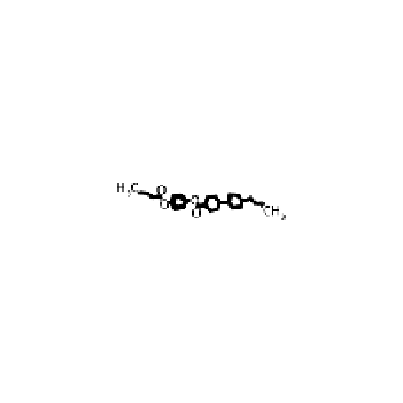 CCCCC(=O)Oc1ccc(OC(=O)C2CCC(C3CCC(CCCC)CC3)CC2)cc1